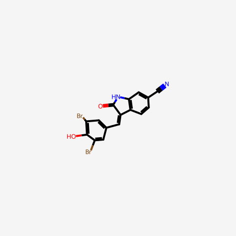 N#Cc1ccc2c(c1)NC(=O)C2=Cc1cc(Br)c(O)c(Br)c1